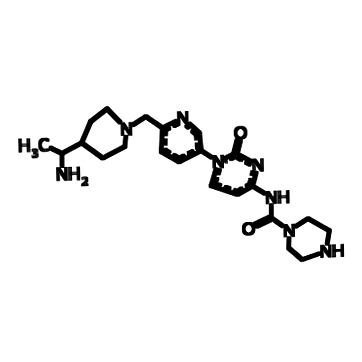 CC(N)C1CCN(Cc2ccc(-n3ccc(NC(=O)N4CCNCC4)nc3=O)cn2)CC1